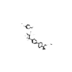 CCOC(=O)C1(c2ccc(-c3ccc(-c4onc(C)c4NC(=O)OC(C)c4ccc(OC)cc4)cc3)cc2)CC1